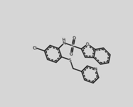 O=S(=O)(Nc1cc(Cl)ccc1SCc1cccnc1)c1cc2ccccc2o1